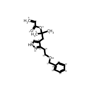 C=CC(=O)OC(C)(C)Cc1c[nH]nc1CCOCc1ccccc1